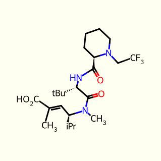 C/C(=C\[C@H](C(C)C)N(C)C(=O)[C@@H](NC(=O)[C@H]1CCCCN1CC(F)(F)F)C(C)(C)C)C(=O)O